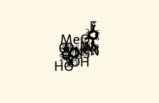 COc1cc(F)ccc1-c1cnc2sc(N3CCC4(CC3)C(C(O)O)CCS4(=O)=O)nn12